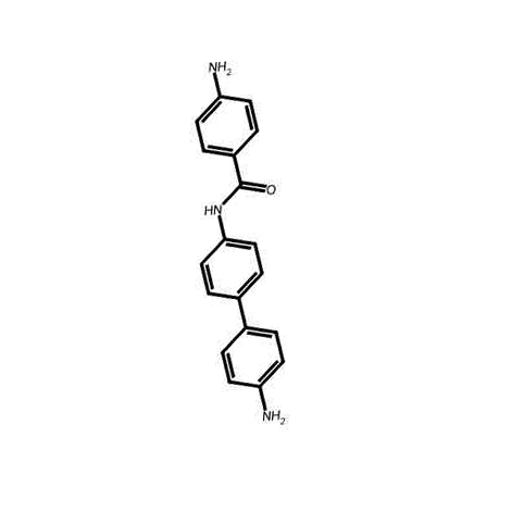 Nc1ccc(C(=O)Nc2ccc(-c3ccc(N)cc3)cc2)cc1